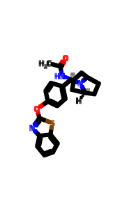 CC(=O)N[C@H]1CC2CC[C@@H](C1)N2Cc1ccc(Oc2nc3ccccc3s2)cc1